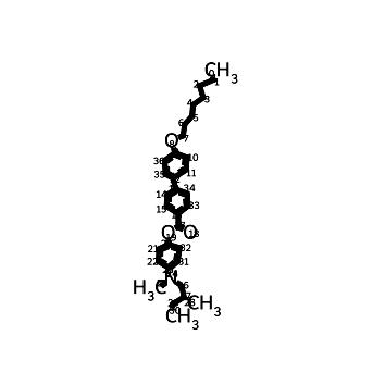 CCCCCCCCOc1ccc(-c2ccc(C(=O)Oc3ccc(N(C)C[C@@H](C)CC)cc3)cc2)cc1